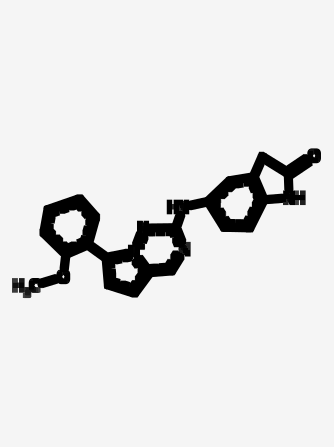 COc1ccccc1-c1ccc2cnc(Nc3ccc4c(c3)CC(=O)N4)nn12